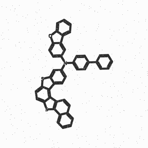 c1ccc(-c2ccc(N(c3ccc4c(c3)sc3ccc5sc6c7ccccc7ccc6c5c34)c3ccc4oc5ccccc5c4c3)cc2)cc1